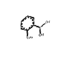 CNc1ccccc1B(O)O